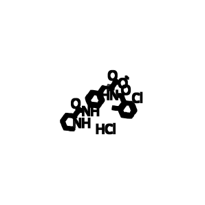 COC(=O)[C@H](Cc1ccc(NC(=O)C2CCCCN2)cc1)NC(=O)c1c(C)cccc1Cl.Cl